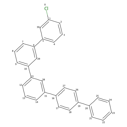 Clc1cccc(-c2cccc(-c3cccc(-c4ccc(-c5ccccc5)cc4)c3)c2)c1